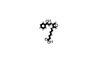 O=C(O)CCCCCC[C@@H]1COC[C@@H]1/C=C/C(O)C1CCCCC1